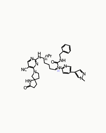 CCC[C@H](CCC/C=[N+](\C(=O)NCc1ccccc1)c1ccc(-c2cnn(C)c2)cn1)Nc1ncc(C#N)c(N2CCC3(CCC(=O)N3)C2)n1